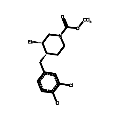 CC[C@@H]1CN(C(=O)OC(Cl)(Cl)Cl)CC[C@@H]1Cc1ccc(Cl)c(Cl)c1